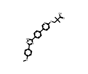 COc1ccc(-c2n[nH]c(-c3ccc(-c4ccc(OCC(C)(C)C(=O)O)nc4)cc3)n2)cc1